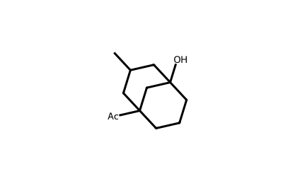 CC(=O)C12CCCC(O)(CC(C)C1)C2